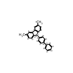 Cc1ccc2c(c1)c1cc(C)ccc1n2-c1ccc(-c2ccccc2)cc1